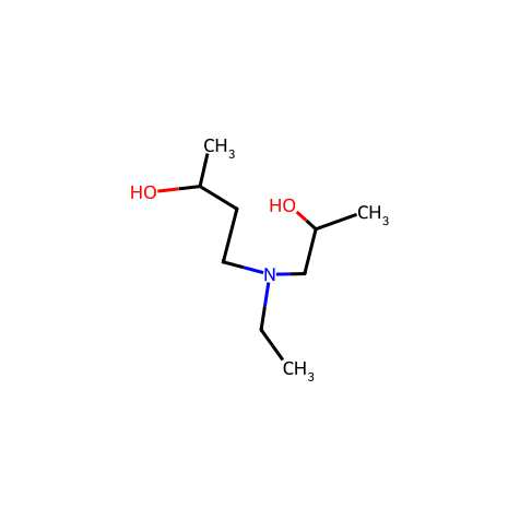 CCN(CCC(C)O)CC(C)O